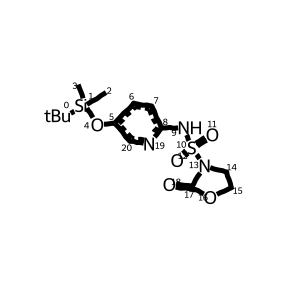 CC(C)(C)[Si](C)(C)Oc1ccc(NS(=O)(=O)N2CCOC2=O)nc1